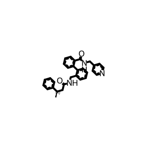 C[C@H](CC(=O)NCc1ccccc1-c1ccccc1C(=O)NCc1ccncc1)c1ccccc1